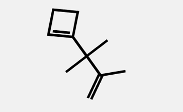 C=C(C)C(C)(C)C1=CCC1